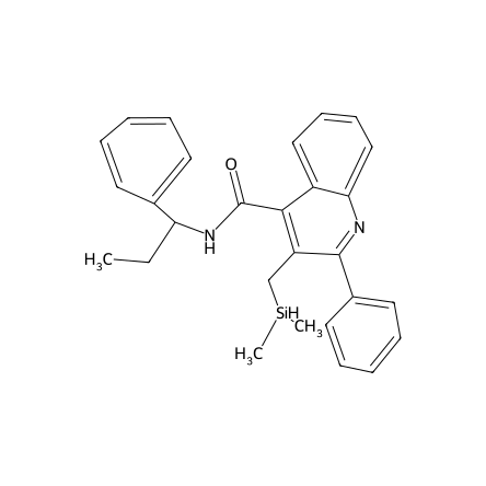 CCC(NC(=O)c1c(C[SiH](C)C)c(-c2ccccc2)nc2ccccc12)c1ccccc1